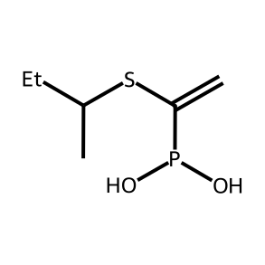 C=C(SC(C)CC)P(O)O